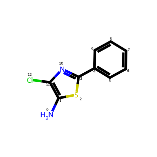 Nc1sc(-c2ccccc2)nc1Cl